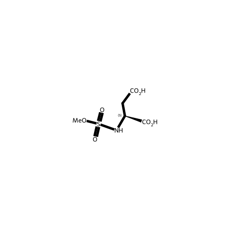 COS(=O)(=O)N[C@@H](CC(=O)O)C(=O)O